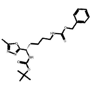 Cc1nnc([C@H](CCCCNC(=O)OCc2ccccc2)NC(=O)OC(C)(C)C)o1